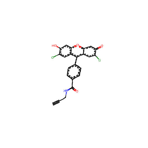 C#CCNC(=O)c1ccc(-c2c3cc(Cl)c(=O)cc-3oc3cc(O)c(Cl)cc23)cc1